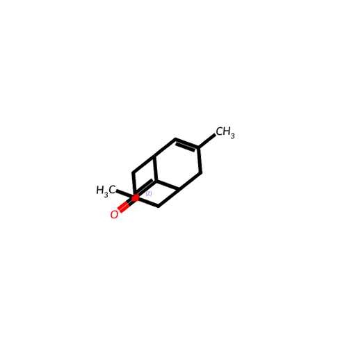 C/C=C1\C2C=C(C)CC1CC(=O)C2